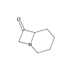 O=C1CN2CCCCC12